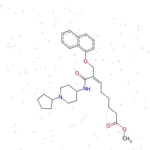 COC(=O)CCCCC=C(COc1cccc2ccccc12)C(=O)NC1CCN(C2CCCC2)CC1